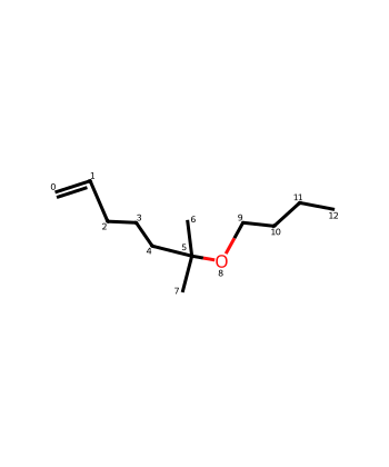 C=CCCCC(C)(C)OCCCC